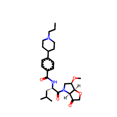 CCCN1CCC(c2ccc(C(=O)N[C@@H](CC(C)C)C(=O)N3C[C@@H](OC)[C@H]4OCC(=O)[C@H]43)cc2)CC1